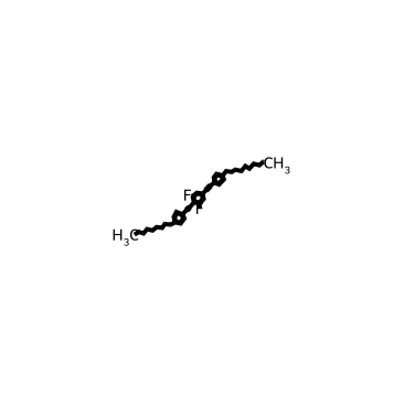 CCCCCCCCCCc1ccc(C#Cc2cc(F)c(C#Cc3ccc(CCCCCCCCC)cc3)c(F)c2)cc1